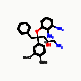 COc1ccc(C(Cc2ccccc2)(C[C@H](O)CN)Oc2cccc(N)c2N)cc1OC